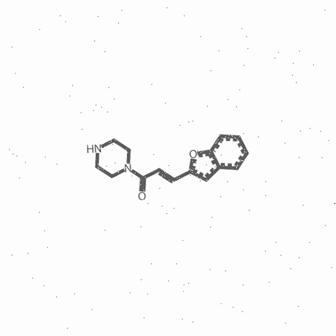 O=C(C=Cc1cc2ccccc2o1)N1CCNCC1